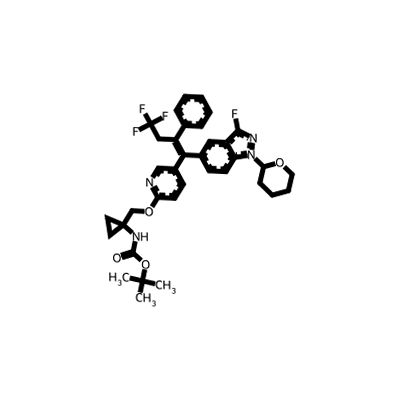 CC(C)(C)OC(=O)NC1(COc2ccc(C(=C(CC(F)(F)F)c3ccccc3)c3ccc4c(c3)c(F)nn4C3CCCCO3)cn2)CC1